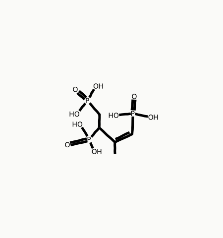 CC(=CP(=O)(O)O)C(CP(=O)(O)O)P(=O)(O)O